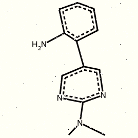 CN(C)c1ncc(-c2ccccc2N)cn1